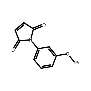 CC(C)Oc1cccc(N2C(=O)C=CC2=O)c1